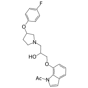 CC(=O)n1ccc2cccc(OCC(O)CN3CCC(Oc4ccc(F)cc4)C3)c21